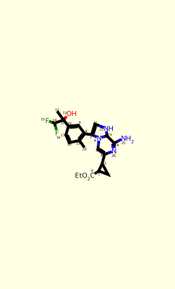 CCOC(=O)C1CC1C1=CN2C(c3cc(C(C)(O)C(F)F)ccc3C)=CNC2C(N)=N1